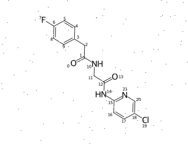 O=C(Cc1ccc(F)cc1)NCC(=O)Nc1ccc(Cl)cn1